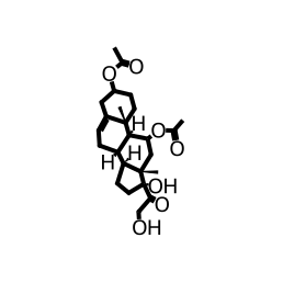 CC(=O)OC1CC[C@@]2(C)C(=CC[C@@H]3[C@@H]2C(OC(C)=O)C[C@@]2(C)[C@H]3CC[C@]2(O)C(=O)CO)C1